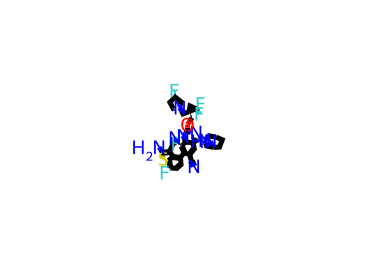 N#Cc1cc2c(N3CC4CCC(C3)N4)nc(OC[C@]3(CN4CC[C@@H](F)C4)CC3(F)F)nc2c(F)c1-c1ccc(F)c2sc(N)c(C#N)c12